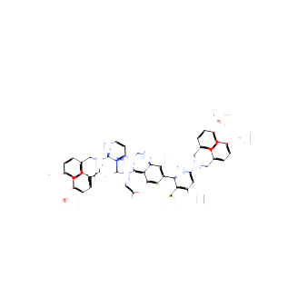 COc1ccc(CN(Cc2ccc(OC)cc2)c2cc(C)c(C(F)(F)F)c(-c3c(F)c4c5c(c3F)=NCNC=5N(C(C)c3cccnc3N(Cc3ccc(OC)cc3)Cc3ccc(OC)cc3)C=C(Cl)O4)n2)cc1